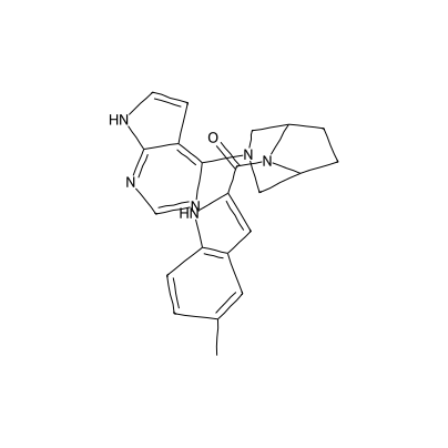 Cc1ccc2[nH]c(C(=O)N3C4CCC3CN(c3ncnc5[nH]ccc35)C4)cc2c1